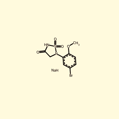 COc1ccc(Br)cc1N1CC(=O)NS1(=O)=O.[NaH]